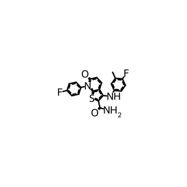 Cc1cc(Nc2c(C(N)=O)sc3c2ccc(=O)n3-c2ccc(F)cc2)ccc1F